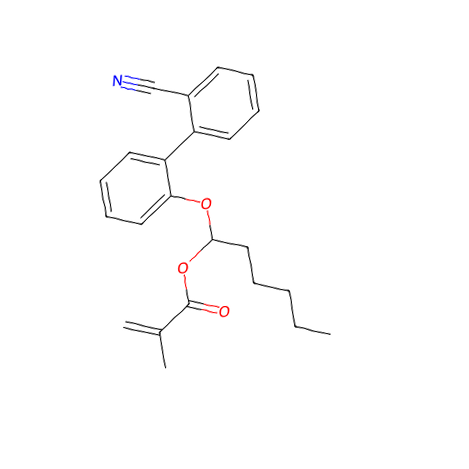 C=C(C)C(=O)OC(CCCCC)Oc1ccccc1-c1ccccc1C#N